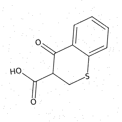 O=C(O)C1CSc2ccccc2C1=O